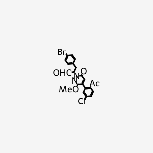 COc1nn(C(C=O)Cc2ccc(Br)cc2)c(=O)cc1-c1cc(Cl)ccc1C(C)=O